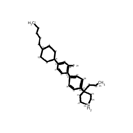 CCCCCC1CCC(c2ccc(-c3ccc(C4(CCC)CC[SiH2]CC4)cc3)c(F)c2)CC1